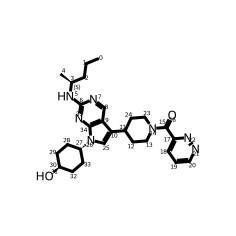 CCC[C@H](C)Nc1ncc2c(C3CCN(C(=O)c4cccnn4)CC3)cn([C@H]3CC[C@H](O)CC3)c2n1